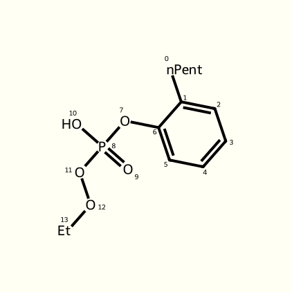 CCCCCc1ccccc1OP(=O)(O)OOCC